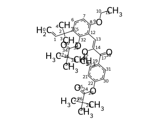 C=CC(C)(C)c1ccc(OCC)c(C=C(OC)C(=O)c2ccc(OC(=O)C(C)(C)C)cc2)c1OC(=O)C(C)(C)C